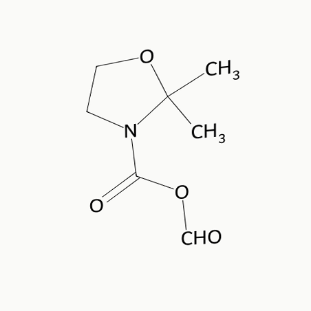 CC1(C)OCCN1C(=O)OC=O